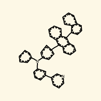 c1ccc(N(c2ccc(-c3c4ccccc4c(-c4cccc5ccccc45)c4ccccc34)cc2)c2cccc(-c3cccnc3)c2)cc1